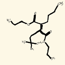 CCCCC(C(=O)OCCC)=C(CC(C)(C)C)C(=O)OCCC